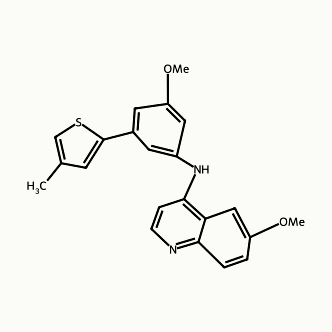 COc1cc(Nc2ccnc3ccc(OC)cc23)cc(-c2cc(C)cs2)c1